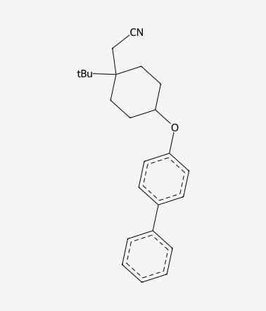 CC(C)(C)C1(CC#N)CCC(Oc2ccc(-c3ccccc3)cc2)CC1